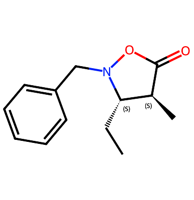 CC[C@H]1[C@H](C)C(=O)ON1Cc1ccccc1